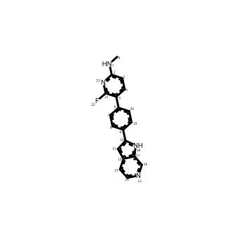 CNc1ccc(-c2ccc(-c3cc4ccncc4[nH]3)cc2)c(F)n1